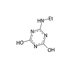 CCNc1nc(O)nc(O)n1